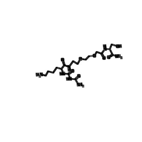 NCCCCC(NC(=O)NC(N)=O)C(=O)NCCOCCOCC(=O)NC(CO)C(N)=O